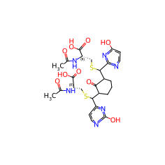 CC(=O)N[C@@H](CSC(c1ccnc(O)n1)C1CCCC(C(SC[C@H](NC(C)=O)C(=O)O)c2nccc(O)n2)C1=O)C(=O)O